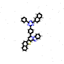 c1ccc(-c2nc(-c3ccc(-c4cc5c6ccc7ccccc7c6sc5c5nc6ccccc6n45)cc3)nc(-c3ccc4ccccc4c3)n2)cc1